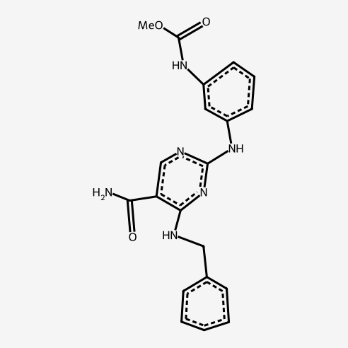 COC(=O)Nc1cccc(Nc2ncc(C(N)=O)c(NCc3ccccc3)n2)c1